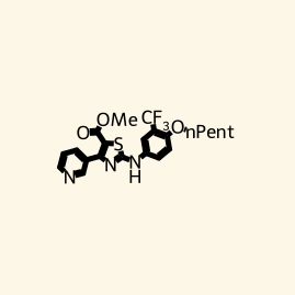 CCCCCOc1ccc(Nc2nc(-c3cccnc3)c(C(=O)OC)s2)cc1C(F)(F)F